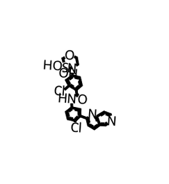 O=C(Nc1ccc(Cl)c(-c2ccc3cnccc3n2)c1)c1ccc(N2CCOCS2(O)O)cc1Cl